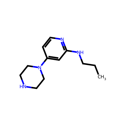 CCCNc1cc(N2CCNCC2)ccn1